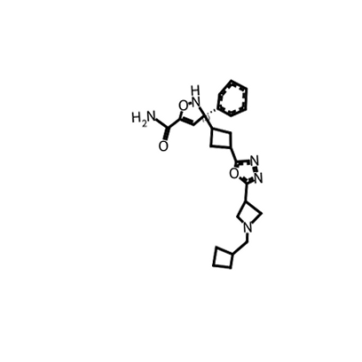 NC(=O)C1=C[C@](c2ccccc2)(C2CC(c3nnc(C4CN(CC5CCC5)C4)o3)C2)NO1